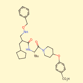 CC(C)(C)[C@H](NC(=O)C(CNOCc1ccccc1)CC1CCCC1)C(=O)N1CCC(Oc2ccc(C(=O)O)cc2)CC1